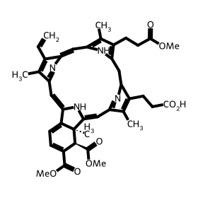 C=CC1=C(C)C2=NC/1=C\c1[nH]c(c(CCC(=O)OC)c1C)CC1N=C(/C=C3\N/C(=C\2)C2=CC=C(C(=O)OC)[C@H](C(=O)OC)[C@@]23C)C(C)=C1CCC(=O)O